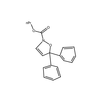 CCCOC(=O)N1C=CC(c2ccccc2)(c2ccccc2)O1